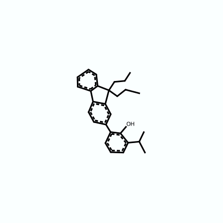 CCCC1(CCC)c2ccccc2-c2ccc(-c3cccc(C(C)C)c3O)cc21